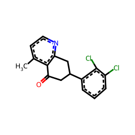 Cc1ccnc2c1C(=O)CC(c1cccc(Cl)c1Cl)C2